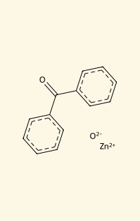 O=C(c1ccccc1)c1ccccc1.[O-2].[Zn+2]